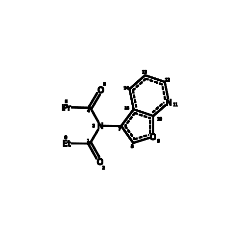 CCC(=O)N(C(=O)C(C)C)c1coc2ncccc12